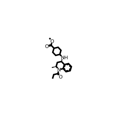 CCC(=O)N1c2ccccc2[C@H](NC2CCC(C(=O)OC)CC2)C[C@@H]1C